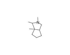 CC1N(C)CC2CCCC21C